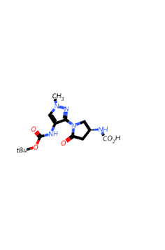 Cn1cc(NC(=O)OC(C)(C)C)c(N2C[C@@H](NC(=O)O)CC2=O)n1